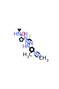 Cc1cc(Nc2ncc(F)c(N[C@@H]3CCC[C@@H]3C(=O)NC3CC3)n2)ccc1N1CCN(C)CC1